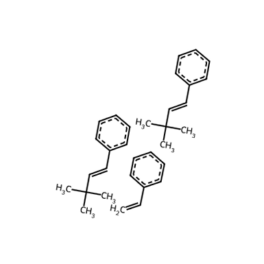 C=Cc1ccccc1.CC(C)(C)C=Cc1ccccc1.CC(C)(C)C=Cc1ccccc1